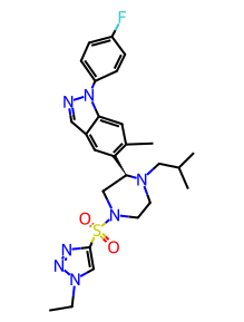 CCn1cc(S(=O)(=O)N2CCN(CC(C)C)[C@H](c3cc4cnn(-c5ccc(F)cc5)c4cc3C)C2)nn1